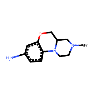 CC(C)N1CCN2c3ccc(N)cc3OCC2C1